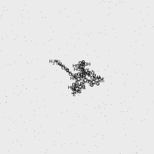 C=CCOC(=O)N1C[C@@H]2CC3(CC3)CC2C(=O)c2cc(OC)c(OCc3cccc(COc4cc5c(cc4OC)C(=O)N4CC6(CC6)C[C@H]4[C@H](O)N5C(=O)OCc4ccc(NC(=O)[C@H](CO[C@@H]5O[C@H](C(=O)O)[C@@H](O)[C@H](O)[C@H]5O)NC(=O)[C@@H](NC(C)=O)C(C)C)cc4NC(=O)CCOCCOCCOCCOCCN)c3)cc21